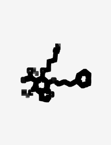 CC(=O)c1c(OCCCC#N)c(OCCCc2ccccc2)c2occc2c1C